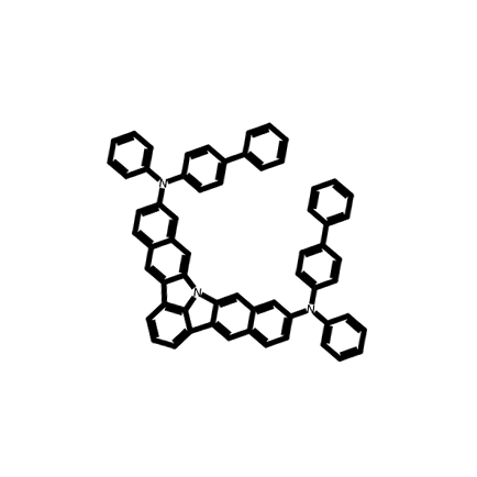 c1ccc(-c2ccc(N(c3ccccc3)c3ccc4cc5c6cccc7c8cc9ccc(N(c%10ccccc%10)c%10ccc(-c%11ccccc%11)cc%10)cc9cc8n(c5cc4c3)c67)cc2)cc1